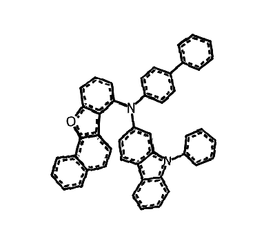 c1ccc(-c2ccc(N(c3ccc4c5ccccc5n(-c5ccccc5)c4c3)c3cccc4oc5c6ccccc6ccc5c34)cc2)cc1